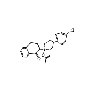 C=C(C)OC1(C2CCc3ccccc3C2=O)CCC(c2ccc(Cl)cc2)CC1